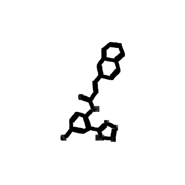 O=C(/C=C/c1ccc2ccccc2c1)Nc1ccc(Cl)cc1-c1nnn[nH]1